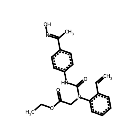 C=Cc1ccccc1N(CC(=O)OCC)C(=O)Nc1ccc(C(C)=NO)cc1